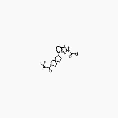 O=C(Nc1nc2cccc(C3CCC4(CCN(C(=O)[C@H]5CC5(F)F)CC4)C3)n2n1)C1CC1